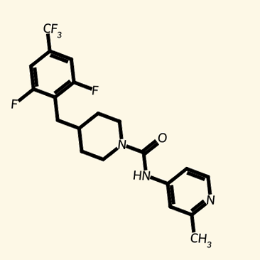 Cc1cc(NC(=O)N2CCC(Cc3c(F)cc(C(F)(F)F)cc3F)CC2)ccn1